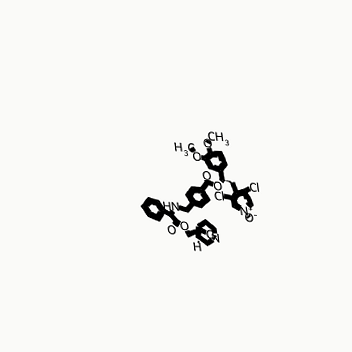 COc1ccc([C@H](Cc2c(Cl)c[n+]([O-])cc2Cl)OC(=O)c2ccc(CNC(C(=O)OC[C@@H]3CN4CCC3CC4)c3ccccc3)cc2)cc1OC